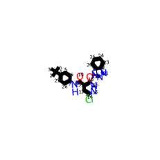 CC(C)(C)c1ccc(NC(=O)c2cc(Cl)nnc2On2nnc3ccccc32)cc1